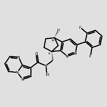 CCN(C[C@]12CC[C@H](C1)c1cc(-c3c(F)cccc3F)nnc12)C(=O)c1cnn2cccnc12